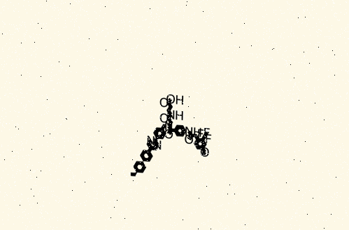 CC[C@H]1CC[C@H](C2CC=C(c3cnc(-c4ccc(CN(CC(=O)NCCC(=O)O)C(=O)c5ccc(NC(=O)Cc6ccc(OC)cc6C(F)(F)F)cc5)cc4)nc3)CC2)CC1